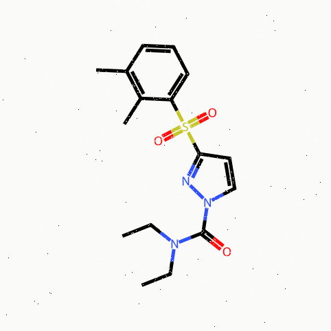 CCN(CC)C(=O)n1ccc(S(=O)(=O)c2cccc(C)c2C)n1